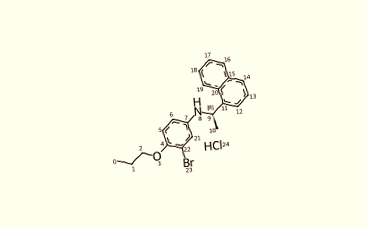 CCCOc1ccc(N[C@H](C)c2cccc3ccccc23)cc1Br.Cl